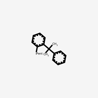 CCCC(C)c1ccccc1C(C)(C)c1[c]cccc1